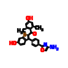 Cc1cc(O)cc(C)c1C(=O)c1sc2cc(O)ccc2c1-c1ccc(-c2nc(N)co2)cc1